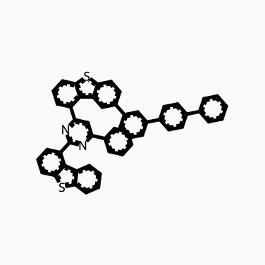 c1ccc(-c2ccc(-c3cccc(-c4ccc5sc6cccc(-c7cc(-c8ccccc8)nc(-c8cccc9sc%10ccccc%10c89)n7)c6c5c4)c3)cc2)cc1